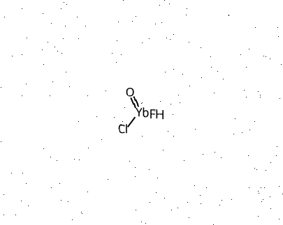 F.[O]=[Yb][Cl]